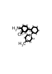 CN1CCN(C2CC[CH]CC2c2ccc(N)c(Cl)c2)CC1